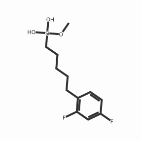 CO[Si](O)(O)CCCCCc1ccc(F)cc1F